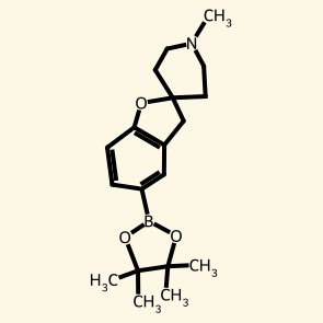 CN1CCC2(CC1)Cc1cc(B3OC(C)(C)C(C)(C)O3)ccc1O2